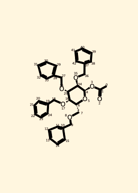 CC(=O)O[C@H]1O[C@H](COCc2ccccc2)[C@H](OCc2ccccc2)[C@H](OCc2ccccc2)[C@H]1OCc1ccccc1